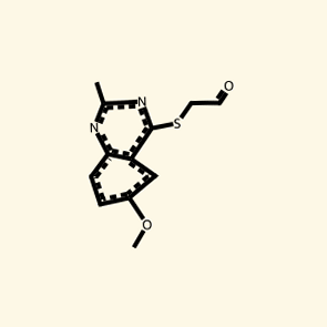 COc1ccc2nc(C)nc(SCC=O)c2c1